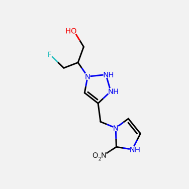 O=[N+]([O-])C1NC=CN1CC1=CN(C(CO)CF)NN1